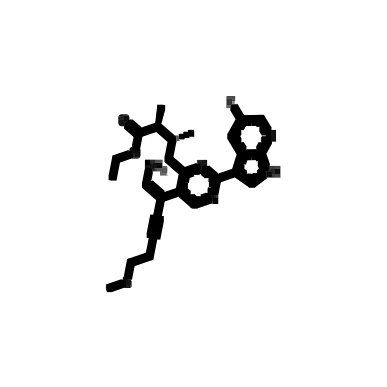 CCOC(=O)[C@@H](C)[C@H](C)Cc1nc(-c2c[nH]c3ncc(F)cc23)ncc1/C(C#CCCSC)=C\N